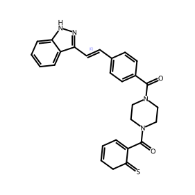 O=C(C1=CC=CCC1=S)N1CCN(C(=O)c2ccc(/C=C/c3n[nH]c4ccccc34)cc2)CC1